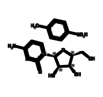 Cc1ccc(S(=O)(=O)O)cc1.Nc1ccn([C@@H]2O[C@H](CO)[C@@H](O)[C@H]2O)c(=O)n1